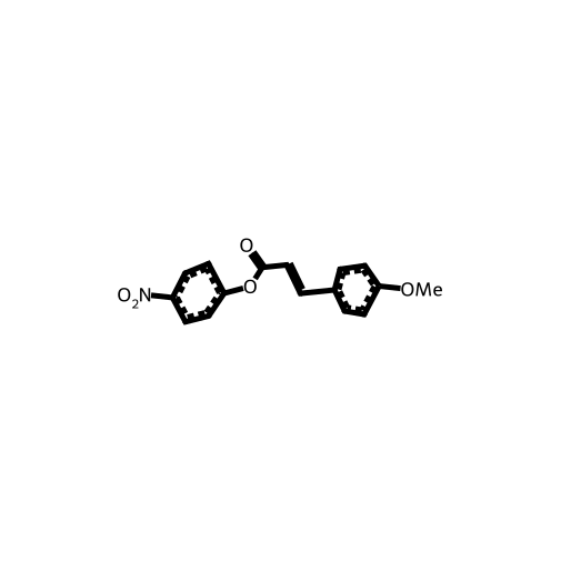 COc1ccc(C=CC(=O)Oc2ccc([N+](=O)[O-])cc2)cc1